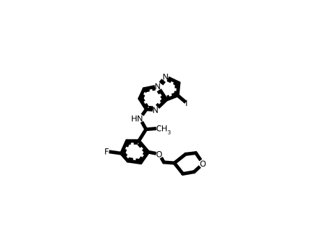 CC(Nc1ccn2ncc(I)c2n1)c1cc(F)ccc1OCC1CCOCC1